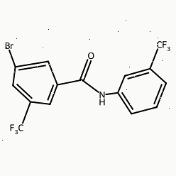 O=C(Nc1cccc(C(F)(F)F)c1)c1cc(Br)cc(C(F)(F)F)c1